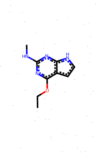 CCOc1nc(NC)nc2[nH]ccc12